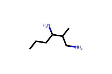 CCCC(N)C(C)CN